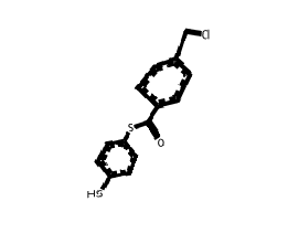 O=C(Sc1ccc(S)cc1)c1ccc(CCl)cc1